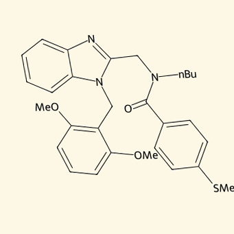 CCCCN(Cc1nc2ccccc2n1Cc1c(OC)cccc1OC)C(=O)c1ccc(SC)cc1